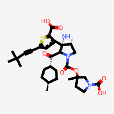 CC(C)(C)C#Cc1cc([C@@]2(N)CCN(C(=O)OC3(C)CCN(C(=O)O)C3)C2C(=O)[C@H]2CC[C@H](C)CC2)c(C(=O)O)s1